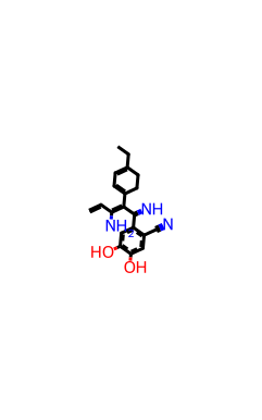 C=C/C(N)=C(/C(=N)c1cc(O)c(O)cc1C#N)C1=CC=C(CC)CC1